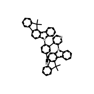 CC1(C)c2ccccc2-c2ccc3c(c21)c1ccccc1n3-c1ccc(C#N)cc1-c1ccncc1-n1c2ccccc2c2c3c(ccc21)-c1ccccc1C3(C)C